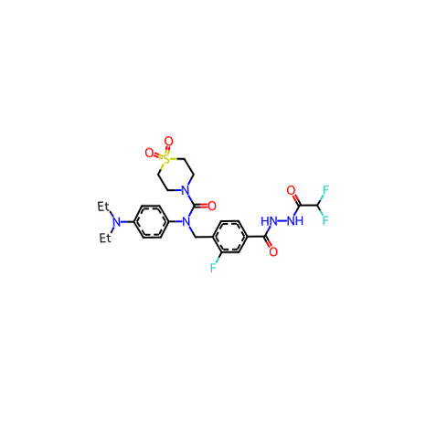 CCN(CC)c1ccc(N(Cc2ccc(C(=O)NNC(=O)C(F)F)cc2F)C(=O)N2CCS(=O)(=O)CC2)cc1